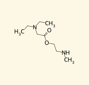 CCN(CC)CC(=O)OCCNC